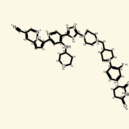 N#Cc1cnn2c(-c3cc(NC4CCOCC4)c(-c4nnc(N5CCN(CC6CCN(c7ccc([C@H]8CCC(=O)NC8=O)cc7F)CC6)CC5)s4)cn3)ccc2c1